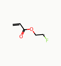 C=CC(=O)OC[CH]F